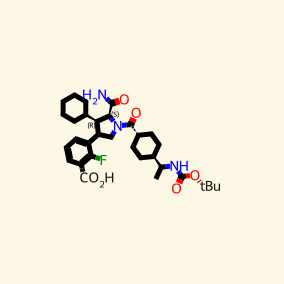 CC(NC(=O)OC(C)(C)C)[C@H]1CC[C@H](C(=O)N2CC(c3cccc(C(=O)O)c3F)[C@@H](C3CCCCC3)[C@H]2C(N)=O)CC1